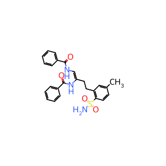 Cc1ccc(S(N)(=O)=O)c(CCC(=CNC(=O)c2ccccc2)NC(=O)c2ccccc2)c1